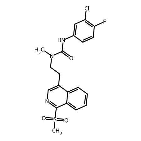 CN(CCc1cnc(S(C)(=O)=O)c2ccccc12)C(=O)Nc1ccc(F)c(Cl)c1